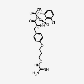 N=C(N)NOCCCOc1ccc(C[C@H](NS(=O)(=O)c2c(Cl)cccc2Cl)C(=O)OC(=O)C(F)(F)F)cc1